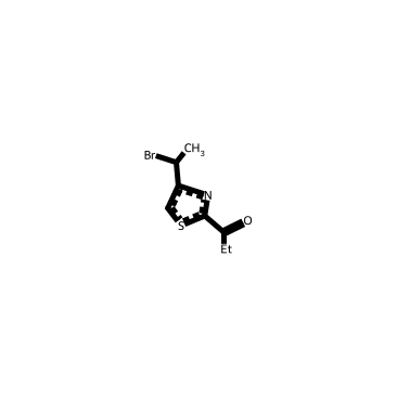 CCC(=O)c1nc(C(C)Br)cs1